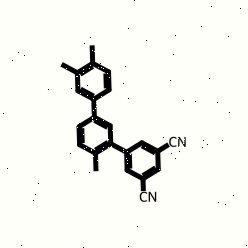 Cc1ccc(-c2ccc(C)c(-c3cc(C#N)cc(C#N)c3)c2)cc1C